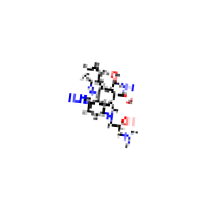 CN(C)CC(O)Cn1cc(C2=C(c3c[nH]c4ccccc34)C(=O)NC2=O)c2cc(N)ccc21